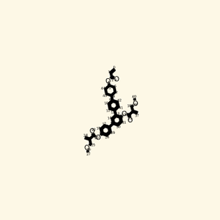 C=CC(=O)OC1CCC(c2ccc(-c3cc(-c4ccc(OC(=O)C(=C)COC)cc4)ccc3OC(=O)C(=C)COC)cc2)CC1